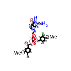 COc1cc(C(=O)COP(=O)(COCCn2cnc3c(=O)[nH]c(N)nc32)OCc2ccc(OC)c(F)c2)ccc1C